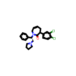 O=C1C(c2ccc(Cl)c(Cl)c2)CC=CCN1[C@H](CN1CCCC1)c1ccccc1